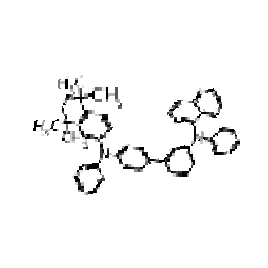 CC1(C)CCC(C)(C)c2cc(N(c3ccccc3)c3ccc(-c4cccc(N(c5ccccc5)c5cccc6ccccc56)c4)cc3)ccc21